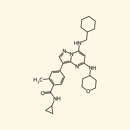 Cc1cc(-c2cnn3c(NCC4CCCCC4)cc(NC4CCOCC4)nc23)ccc1C(=O)NC1CC1